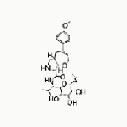 COc1ccc(C2=CCO[C@@H]3[C@H](CN[C@@H]3C(=O)N[C@H](C(C)C)[C@H]3OC(SC)[C@H](O)C(O)C3O)C2)cc1